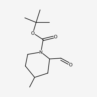 CC1CCN(C(=O)OC(C)(C)C)C(C=O)C1